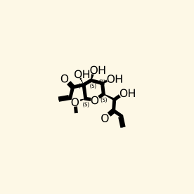 C=CC(=O)C(O)[C@H]1O[C@H](OC)[C@@](O)(C(=O)C=C)[C@@H](O)[C@H]1O